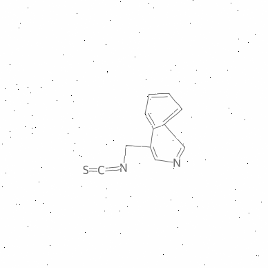 S=C=NCc1cncc2ccccc12